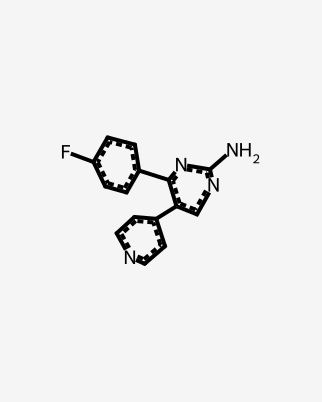 Nc1ncc(-c2ccncc2)c(-c2ccc(F)cc2)n1